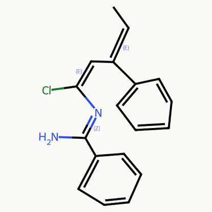 C\C=C(/C=C(Cl)\N=C(/N)c1ccccc1)c1ccccc1